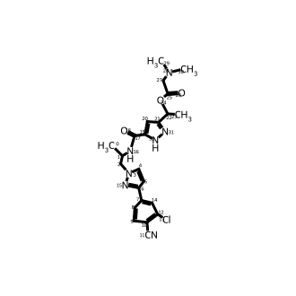 CC(Cn1ccc(-c2ccc(C#N)c(Cl)c2)n1)NC(=O)c1cc(C(C)OC(=O)CN(C)C)n[nH]1